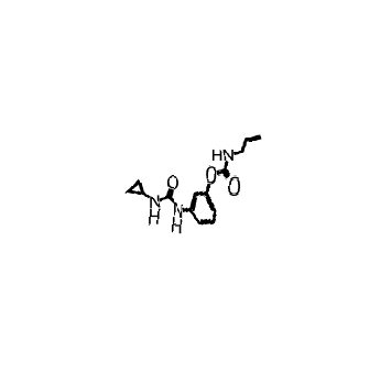 C=CCNC(=O)Oc1cccc(NC(=O)NC2CC2)c1